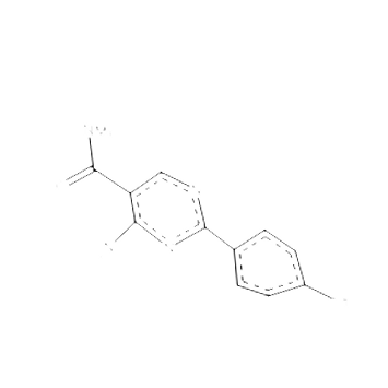 CNC(=O)c1cnc(-c2ccc(C(C)C)cc2)nc1N